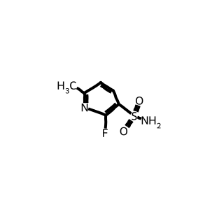 Cc1ccc(S(N)(=O)=O)c(F)n1